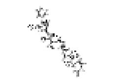 Cc1sc(NC(=O)c2ccc(N3CCN(S(=O)(=O)c4ccccc4)CC3)nc2)nc1-c1ccccc1